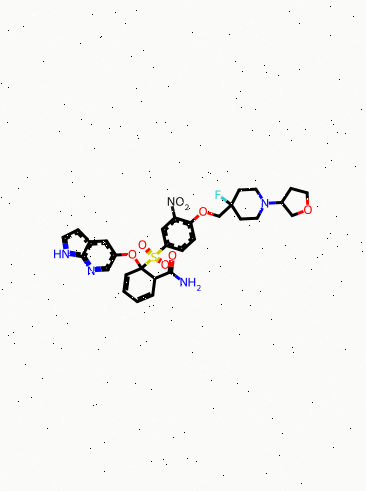 NC(=O)C1C=CC=CC1(Oc1cnc2[nH]ccc2c1)S(=O)(=O)c1ccc(OCC2(F)CCN(C3CCOC3)CC2)c([N+](=O)[O-])c1